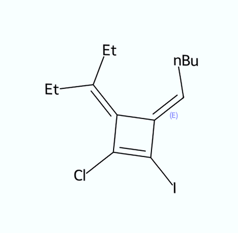 CCCC/C=C1/C(I)=C(Cl)C1=C(CC)CC